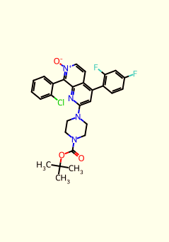 CC(C)(C)OC(=O)N1CCN(c2cc(-c3ccc(F)cc3F)c3cc[n+]([O-])c(-c4ccccc4Cl)c3n2)CC1